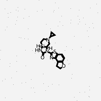 O=C1N[Si@H]2CCN(C3CC3)C[C@H]2N1c1nc2c3c(ccc2s1)OCC3